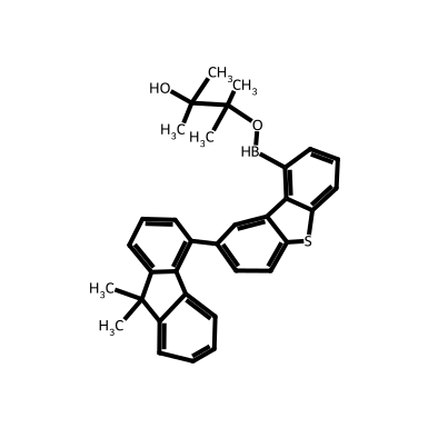 CC1(C)c2ccccc2-c2c(-c3ccc4sc5cccc(BOC(C)(C)C(C)(C)O)c5c4c3)cccc21